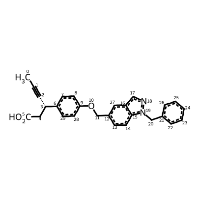 CC#C[C@@H](CC(=O)O)c1ccc(OCc2ccc3c(cnn3Cc3ccccc3)c2)cc1